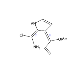 C=C/C(OC)=c1/cc[nH]/c1=C(/N)Cl